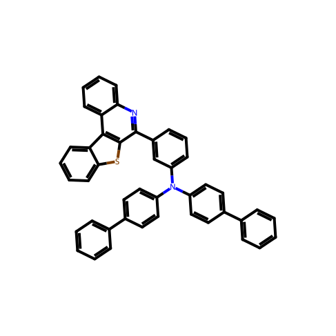 c1ccc(-c2ccc(N(c3ccc(-c4ccccc4)cc3)c3cccc(-c4nc5ccccc5c5c4sc4ccccc45)c3)cc2)cc1